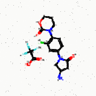 NC1CC(=O)N(c2ccc(N3CCCOC3=O)c(Cl)c2)C1.O=C(O)C(F)(F)F